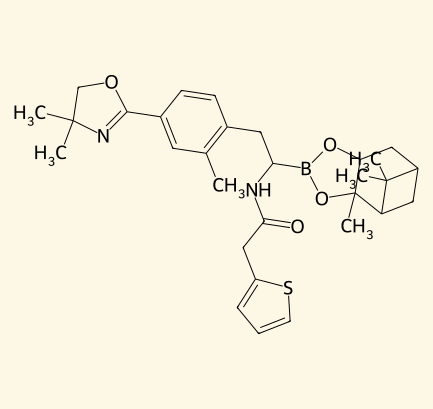 Cc1cc(C2=NC(C)(C)CO2)ccc1CC(NC(=O)Cc1cccs1)B1OC2CC3CC(C3(C)C)C2(C)O1